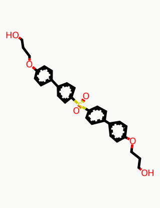 O=S(=O)(c1ccc(-c2ccc(OCCCO)cc2)cc1)c1ccc(-c2ccc(OCCCO)cc2)cc1